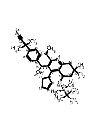 CC(C)c1nc2c(c(C3C=CCC3)c1[C@@H](O)c1ccc(C(C)(C)C#N)cc1)C(O[Si](C)(C)C(C)(C)C)CC(C)(C)C2